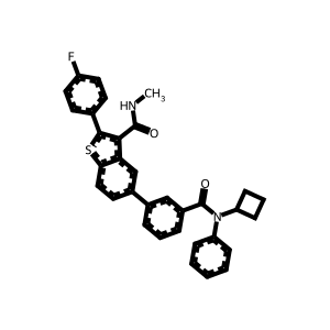 CNC(=O)c1c(-c2ccc(F)cc2)sc2ccc(-c3cccc(C(=O)N(c4ccccc4)C4CCC4)c3)cc12